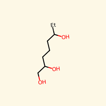 CCC(O)CCCC(O)CO